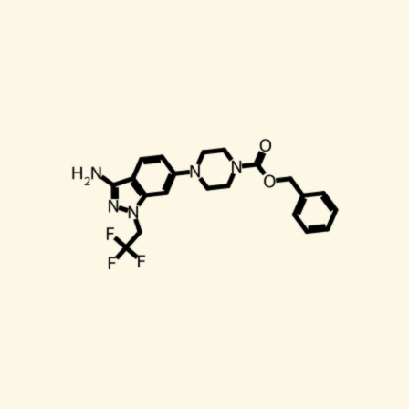 Nc1nn(CC(F)(F)F)c2cc(N3CCN(C(=O)OCc4ccccc4)CC3)ccc12